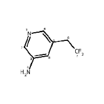 Nc1cncc(CC(F)(F)F)c1